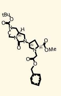 COC(=O)[C@H]1C[C@H](N2C[C@@H]3CN(C(=O)OC(C)(C)C)CCN3C2=O)CN1CC(=O)OCc1ccccc1